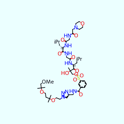 COCC(C)(C)OCCC(C)(C)OCCn1cc(CNC(=O)c2cccc(S(=O)(=O)OCC(C)(O)C(=O)[C@H](CC(C)C)NC(=O)CNC(=O)[C@H](CC(C)C)NC(=O)CNC(=O)CN3CCOCC3)c2)nn1